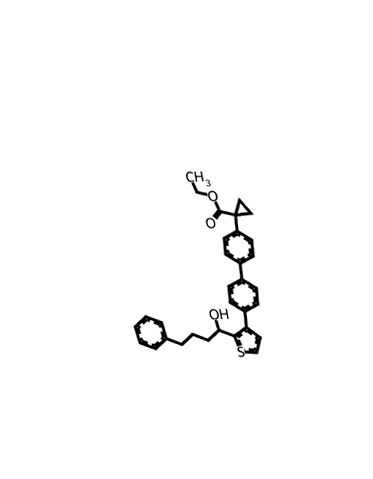 CCOC(=O)C1(c2ccc(-c3ccc(-c4ccsc4C(O)CCCc4ccccc4)cc3)cc2)CC1